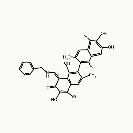 Cc1cc2c(c(O)c1-c1c(C)cc3c(C(C)C)c(O)c(O)cc3c1O)/C(=C/NCc1ccccc1)C(=O)C(O)=C2C(C)C